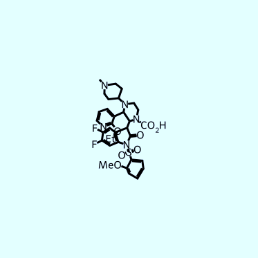 CCOc1ncccc1C1C(C2C(=O)N(S(=O)(=O)c3ccccc3OC)c3cc(F)c(F)cc32)N(C(=O)O)CCN1C1CCN(C)CC1